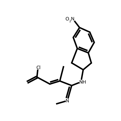 C=C(Cl)/C=C(C)/C(=N\C)NC1Cc2ccc([N+](=O)[O-])cc2C1